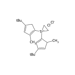 CC1=[C]([Ti+2]2([C]3=CC(C(C)(C)C)=CC3C)[CH2][CH2]2)CC(C(C)(C)C)=C1.[Cl-].[Cl-]